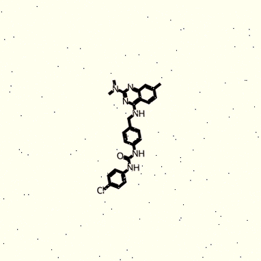 Cc1ccc2c(NCc3ccc(NC(=O)Nc4ccc(Cl)cc4)cc3)nc(N(C)C)nc2c1